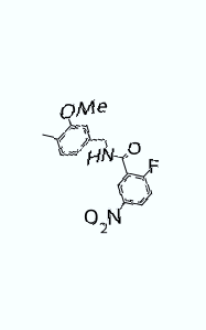 COc1cc(CNC(=O)c2cc([N+](=O)[O-])ccc2F)ccc1C